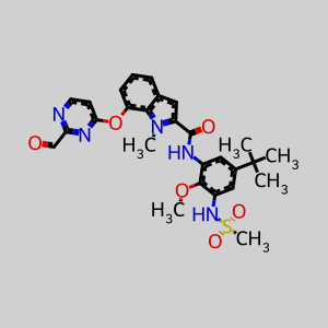 COc1c(NC(=O)c2cc3cccc(Oc4ccnc(C=O)n4)c3n2C)cc(C(C)(C)C)cc1NS(C)(=O)=O